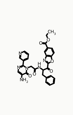 CCOC(=O)c1ccc2oc(C(=O)C(Cc3ccccc3)NC(=O)Cn3c(-c4cccnc4)ncc(N)c3=O)nc2c1